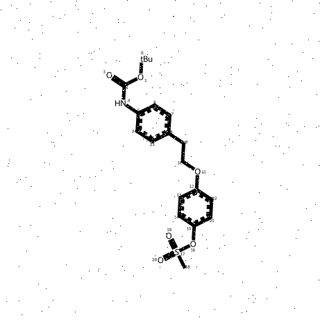 CC(C)(C)OC(=O)Nc1ccc(CCOc2ccc(OS(C)(=O)=O)cc2)cc1